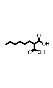 [CH2]CCCCCC(C(=O)O)C(=O)O